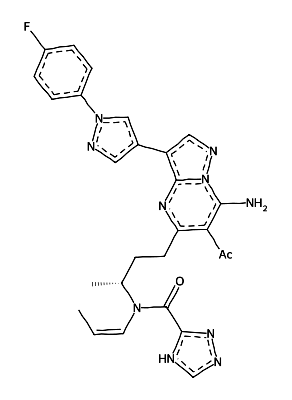 C/C=C\N(C(=O)c1nnc[nH]1)[C@H](C)CCc1nc2c(-c3cnn(-c4ccc(F)cc4)c3)cnn2c(N)c1C(C)=O